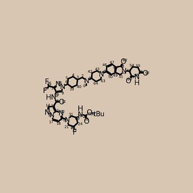 CN(CC1CCC(n2cc(NC(=O)c3cnn4ccc(N5C[C@H](F)C[C@@H](NC(=O)OC(C)(C)C)C5)nc34)c(C(F)F)n2)CC1)C1CCN(c2ccc3c(c2)CN(C2CCC(=O)NC2=O)C3=O)CC1